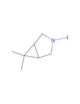 CC1(C)C2CN(I)CC21